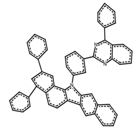 c1ccc(-c2cc(-c3ccccc3)c3ccc4c5cc6ccccc6cc5n(-c5cccc(-c6nc(-c7ccccc7)c7ccccc7n6)c5)c4c3c2)cc1